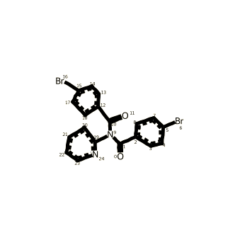 O=C(c1ccc(Br)cc1)N(C(=O)c1ccc(Br)cc1)c1ccccn1